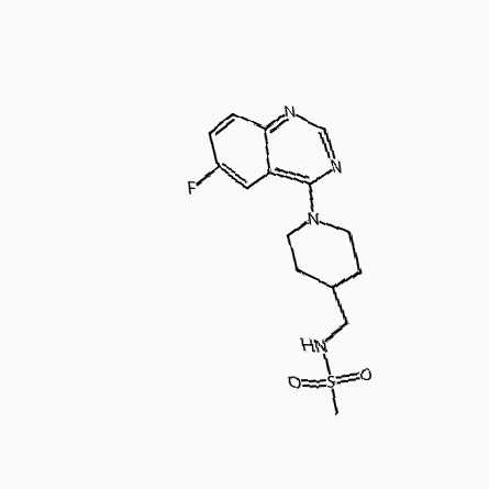 CS(=O)(=O)NCC1CCN(c2ncnc3ccc(F)cc23)CC1